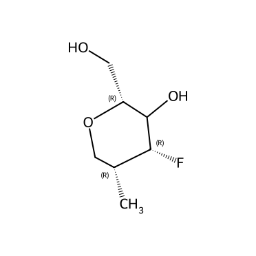 C[C@@H]1CO[C@H](CO)C(O)[C@@H]1F